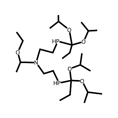 CCOC(C)N(CCPC(CC)(OC(C)C)OC(C)C)CCPC(CC)(OC(C)C)OC(C)C